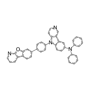 c1ccc(N(c2ccccc2)c2ccc3c(c2)c2cnccc2n3-c2ccc(-c3ccc4c(c3)oc3ncccc34)cc2)cc1